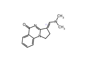 CN(C)/C=C1\CCn2c1nc(=O)c1ccccc12